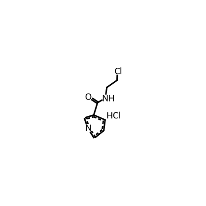 Cl.O=C(NCCCl)c1cccnc1